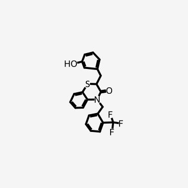 O=C1C(Cc2cccc(O)c2)Sc2ccccc2N1Cc1ccccc1C(F)(F)F